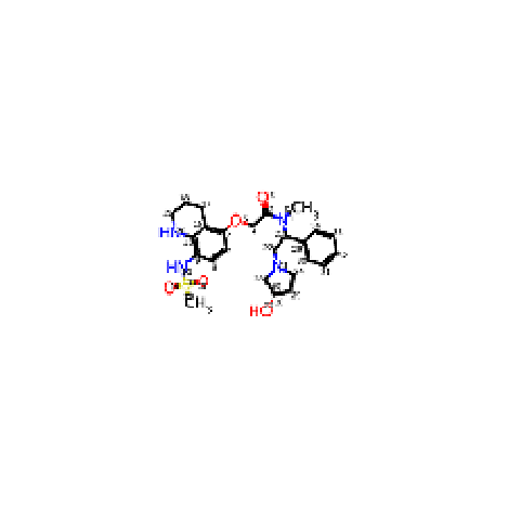 CN(C(=O)COc1ccc(NS(C)(=O)=O)c2c1CCCN2)C(CN1CC[C@H](O)C1)c1ccccc1